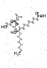 CCCCCCCC/C=C\CCCCCCCC(=O)O.OCCON(OCCO)C1CC1